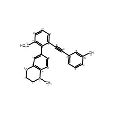 CN1CCOc2cc(-c3c(C#Cc4cccc(O)c4)cccc3C(=O)O)ccc21